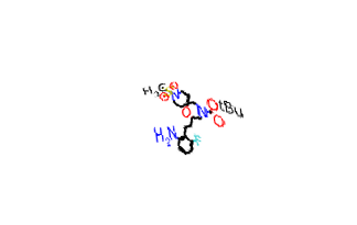 CC(C)(C)OC(=O)N1CC(CCc2c(N)cccc2F)OC2(CCN(S(C)(=O)=O)CC2)C1